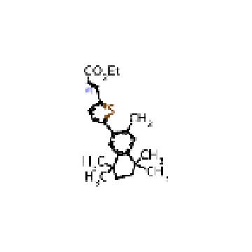 CCOC(=O)/C=C/c1ccc(-c2cc3c(cc2C)C(C)(C)CCC3(C)C)s1